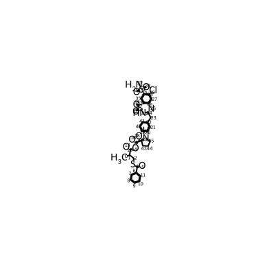 CC(CSC(=O)c1ccccc1)C(=O)OC(=O)[C@]1(Oc2ccc(CC3=Nc4cc(Cl)c(S(N)(=O)=O)cc4S(=O)(=O)N3)cc2)CCCN1